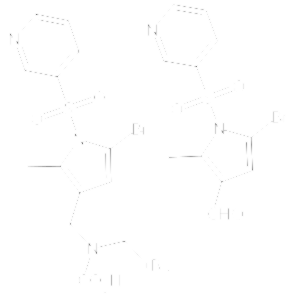 Cc1c(C=O)cc(Br)n1S(=O)(=O)c1cccnc1.Cc1c(CN(CC(C)(C)C)C(=O)O)cc(Br)n1S(=O)(=O)c1cccnc1